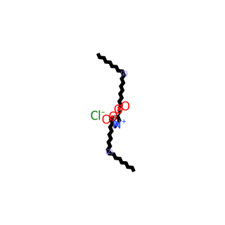 CCCCCCCC/C=C\CCCCCCCC(=O)OC[C@@H](C[N+](C)(C)C)OC(=O)CCCCCCC/C=C\CCCCCCCC.[Cl-]